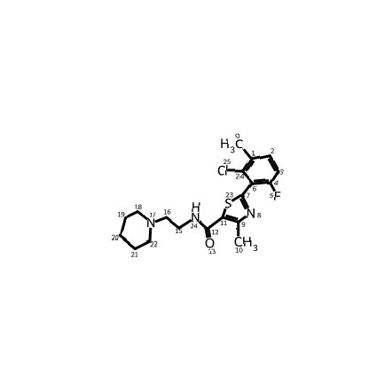 Cc1ccc(F)c(-c2nc(C)c(C(=O)NCCN3CCCCC3)s2)c1Cl